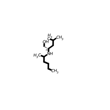 CCCCC(C)N[C@H](CO)CC(C)C